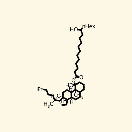 CCCCCCC(O)CCCCCCCCCCC(=O)OC1(O)CCCC2CC[C@H]3[C@@H]4CC[C@H]([C@H](C)CCCC(C)C)[C@@]4(C)CC[C@@H]3[C@]21C